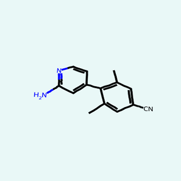 Cc1cc(C#N)cc(C)c1-c1ccnc(N)c1